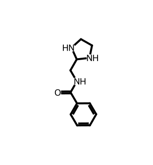 O=C(NCC1NCCN1)c1ccccc1